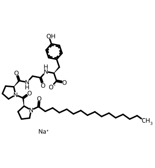 CCCCCCCCCCCCCCCC(=O)N1CCC[C@H]1C(=O)N1CCC[C@H]1C(=O)NCC(=O)N[C@@H](Cc1ccc(O)cc1)C(=O)[O-].[Na+]